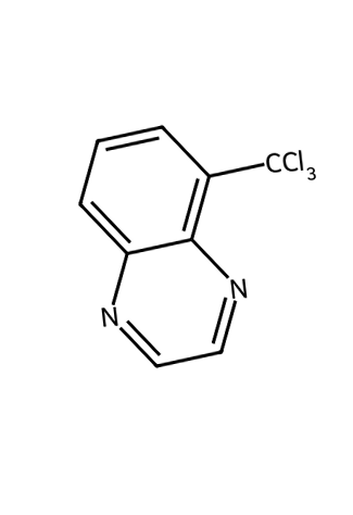 ClC(Cl)(Cl)c1cccc2nccnc12